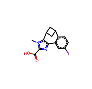 Cn1c(C(=O)O)nc2c1C1CC(C1)c1ccc(I)cc1-2